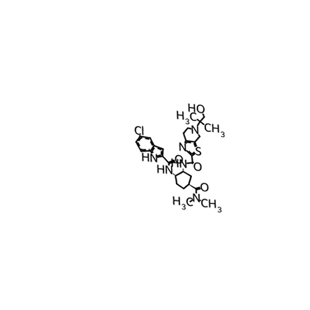 CN(C)C(=O)[C@H]1CC[C@H](NC(=O)c2cc3cc(Cl)ccc3[nH]2)[C@H](NC(=O)c2nc3c(s2)CN(C(C)(C)CO)CC3)C1